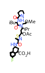 CCC(C)C(NC(=O)C1CCCCN1C)C(=O)N(CCOC)[C@H](C[C@@H](OC(C)=O)c1nc(C(=O)N[C@H]2Cc3ccc(F)cc3[C@H](C(=O)O)C2)cs1)C(C)C